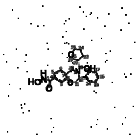 O=C(NO)c1ccc2c(c1)OC[C@H](c1ccccc1)N(C(O)[C@H]1CCCOC1)C2